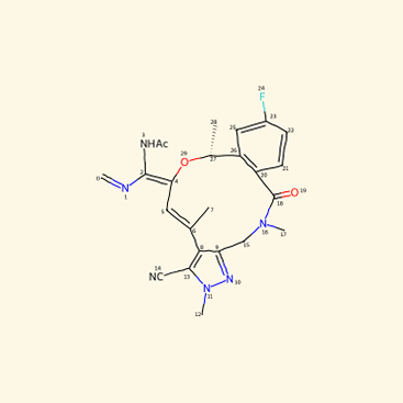 C=N/C(NC(C)=O)=C1\C=C(/C)c2c(nn(C)c2C#N)CN(C)C(=O)c2ccc(F)cc2[C@@H](C)O1